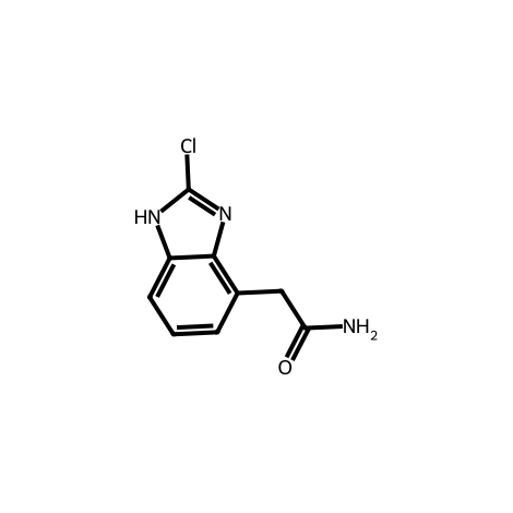 NC(=O)Cc1cccc2[nH]c(Cl)nc12